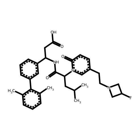 Cc1cccc(C)c1-c1cccc(C(CC(=O)O)NC(=O)C(CC(C)C)n2cc(CCN3CC(F)C3)ccc2=O)c1